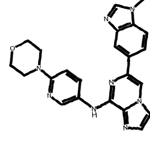 Cn1cnc2cc(-c3cn4ccnc4c(Nc4ccc(N5CCOCC5)nc4)n3)ccc21